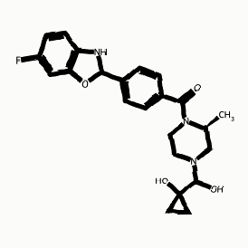 C[C@H]1CN(C(O)C2(O)CC2)CCN1C(=O)c1ccc(C2Nc3ccc(F)cc3O2)cc1